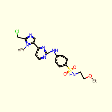 CCCn1c(-c2ccnc(Nc3ccc(S(=O)(=O)NCCOCC)cc3)n2)cnc1CCl